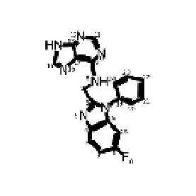 Fc1ccc2nc(CNc3ncnc4[nH]cnc34)n(-c3ccccc3)c2c1